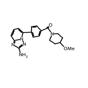 COC1CCN(C(=O)c2ccc(-c3cccc4nc(N)nn34)cc2)CC1